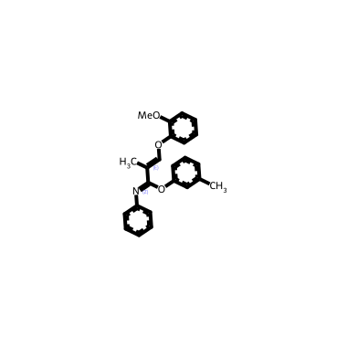 COc1ccccc1O/C=C(C)/C(=N/c1ccccc1)Oc1cccc(C)c1